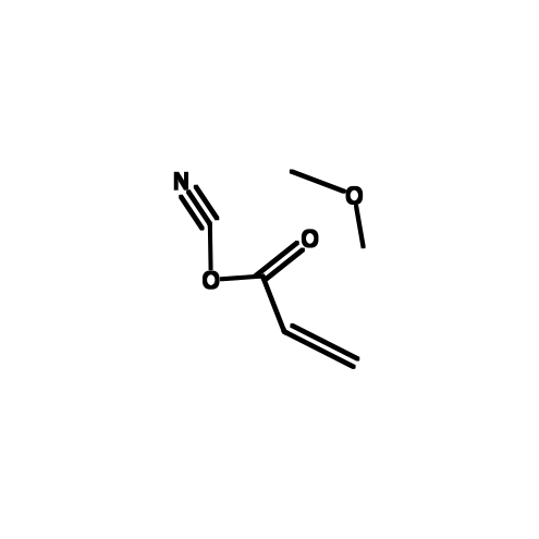 C=CC(=O)OC#N.COC